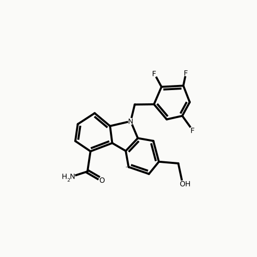 NC(=O)c1cccc2c1c1[c]cc(CO)cc1n2Cc1cc(F)cc(F)c1F